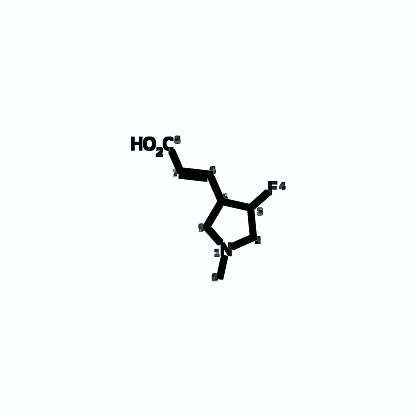 CN1CC(F)C(/C=C/C(=O)O)C1